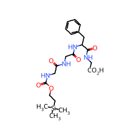 C[Si](C)(C)CCOC(=O)NCC(=O)NCC(=O)NC(Cc1ccccc1)C(=O)NCC(=O)O